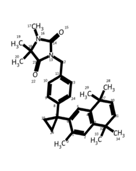 Cc1cc2c(cc1C1(c3ccc(CN4C(=O)N(C)C(C)(C)C4=O)cc3)CC1)C(C)(C)C=CC2(C)C